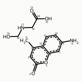 Cc1cc(=O)oc2cc(N)ccc12.O=C(O)CNCO